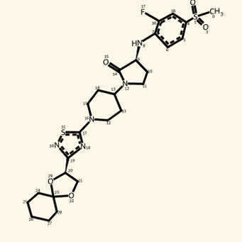 CS(=O)(=O)c1ccc(N[C@H]2CCN(C3CCN(c4nc([C@H]5COC6(CCCCC6)O5)ns4)CC3)C2=O)c(F)c1